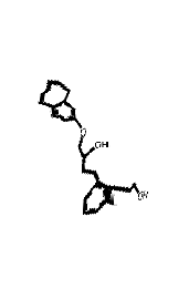 OCc1ccccc1CCC(O)COc1ccc2c(c1)CCCC2